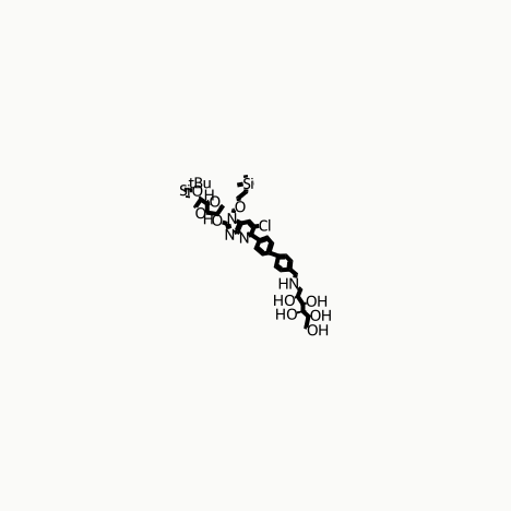 CC(C)(C)[Si](C)(C)O[C@@H]1CO[C@H]2[C@@H]1OC[C@H]2Oc1nc2nc(-c3ccc(-c4ccc(CNC[C@H](O)[C@@H](O)[C@H](O)[C@H](O)CO)cc4)cc3)c(Cl)cc2n1COCC[Si](C)(C)C